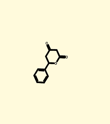 O=C1CC(=O)OC(c2ccccc2)C1